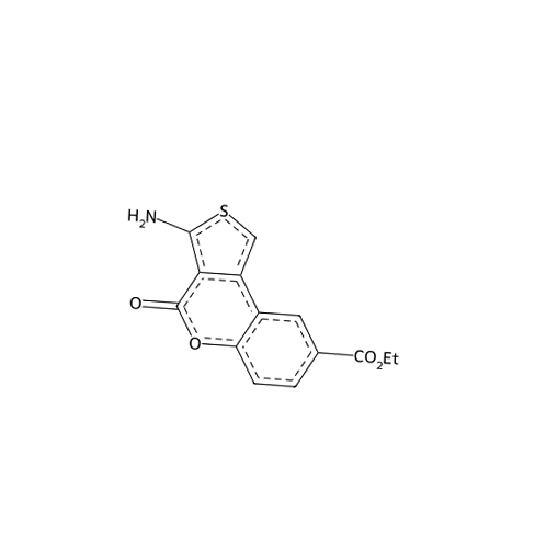 CCOC(=O)c1ccc2oc(=O)c3c(N)scc3c2c1